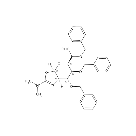 CN(C)C1=N[C@@H]2[C@@H](OCc3ccccc3)[C@H](OCc3ccccc3)[C@H](C(C=O)OCc3ccccc3)O[C@@H]2S1